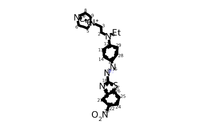 CCN(CC[N+]12CCN(CC1)CC2)c1ccc(/N=N/c2nc3cc([N+](=O)[O-])ccc3s2)cc1